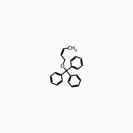 C/C=C\COC(c1ccccc1)(c1ccccc1)c1ccccc1